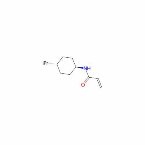 C=CC(=O)N[C@H]1CC[C@H](C(C)C)CC1